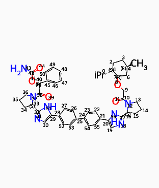 CC(C)[C@@H]1CC[C@@H](C)C[C@H]1OCC(=O)N1CCC[C@H]1c1ncc(-c2ccc(-c3ccc(-c4cnc([C@@H]5CCCN5C(=O)[C@H](OC(N)=O)c5ccccc5)[nH]4)cc3)cc2)[nH]1